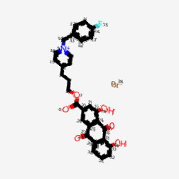 O=C(OCCCc1cc[n+](Cc2ccc(F)cc2)cc1)c1cc(O)c2c(c1)C(=O)c1cccc(O)c1C2=O.[Br-]